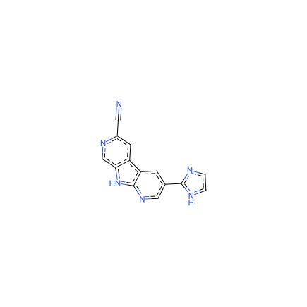 N#Cc1cc2c(cn1)[nH]c1ncc(-c3ncc[nH]3)cc12